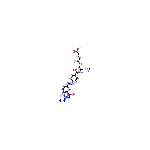 CC(C)C(=O)CCCC(=O)CC[C@H](NC(=O)c1ccc(NCc2cnc3[nH]c(N)nc(=O)c3n2)cc1)C(=O)O